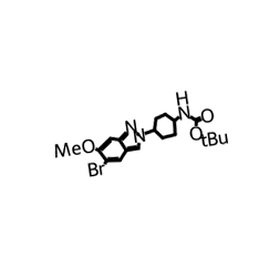 COc1cc2nn(C3CCC(NC(=O)OC(C)(C)C)CC3)cc2cc1Br